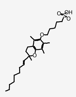 CCCCCCC/C=C/C1(C)CCc2c(C)c(OCCCCCS(=O)(=O)O)c(C)c(C)c2O1